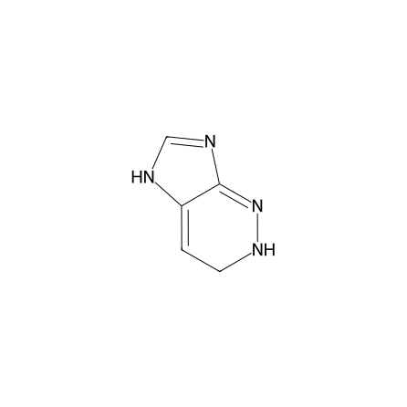 C1=c2[nH]cnc2=NNC1